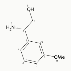 COc1cccc([C@H](N)CO)c1